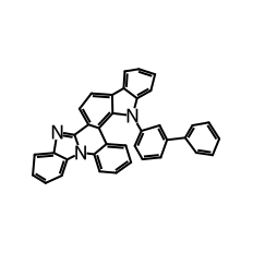 c1ccc(-c2cccc(-n3c4ccccc4c4ccc5c(c6ccccc6n6c7ccccc7nc56)c43)c2)cc1